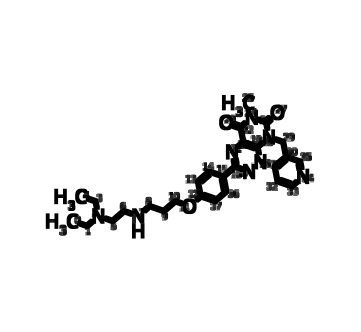 CCN(CC)CCNCCCOc1ccc(-c2nnc3c(n2)c(=O)n(C)c(=O)n3Cc2cccnc2)cc1